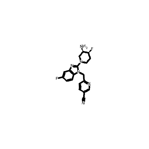 N#Cc1ccc(Cn2c(N3CC[C@H](F)[C@H](N)C3)nc3cc(F)ccc32)nc1